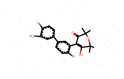 CCc1ccc(-c2ccc(Cl)c([N+](=O)[O-])c2)cc1C1=C(O)C(C)(C)OC(C)(C)C1=O